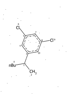 CCCC[C](C)c1cc(Cl)cc(Cl)c1